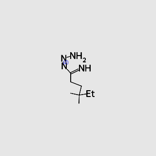 CCC(C)(C)CCC(=N)/N=N\N